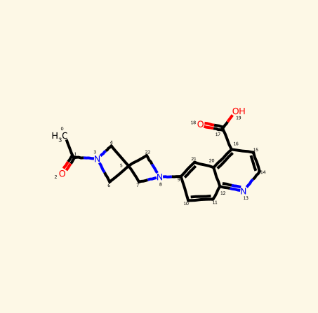 CC(=O)N1CC2(C1)CN(c1ccc3nccc(C(=O)O)c3c1)C2